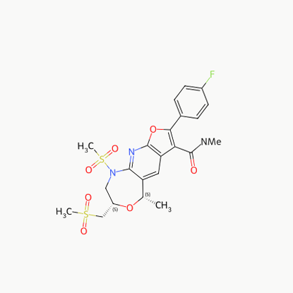 CNC(=O)c1c(-c2ccc(F)cc2)oc2nc3c(cc12)[C@H](C)O[C@H](CS(C)(=O)=O)CN3S(C)(=O)=O